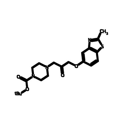 Cc1nc2cc(OCC(=O)CN3CCN(C(=O)OC(C)(C)C)CC3)ccc2s1